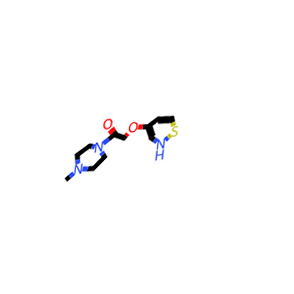 CN1CCN(C(=O)COC2=CNSC=C2)CC1